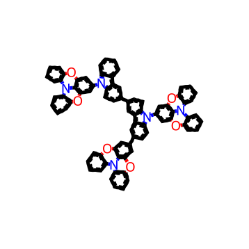 c1ccc2c(c1)Oc1cc(-c3ccc4c(c3)c3cc(-c5ccc6c(c5)c5ccccc5n6-c5cc6c7c(c5)Oc5ccccc5N7c5ccccc5O6)ccc3n4-c3cc4c5c(c3)Oc3ccccc3N5c3ccccc3O4)cc3c1N2c1ccccc1O3